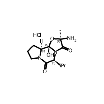 CC(C)[C@H]1C(=O)N2CCC[C@H]2[C@]2(O)O[C@@](C)(N)C(=O)N12.Cl